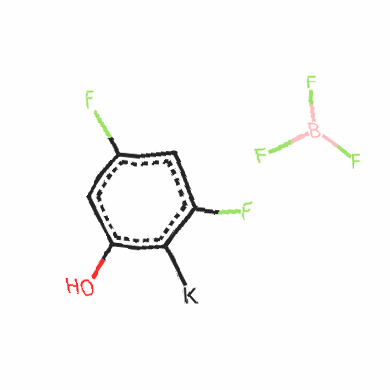 FB(F)F.Oc1cc(F)cc(F)[c]1[K]